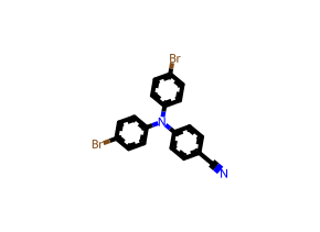 N#Cc1ccc(N(c2ccc(Br)cc2)c2ccc(Br)cc2)cc1